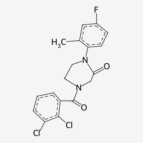 Cc1cc(F)ccc1N1CCN(C(=O)c2cccc(Cl)c2Cl)CC1=O